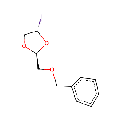 I[C@H]1CO[C@H](COCc2ccccc2)O1